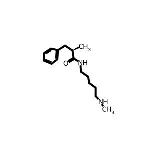 CNCCCCCNC(=O)[C@H](C)Cc1ccccc1